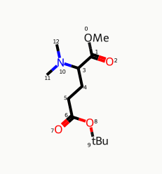 COC(=O)C(CCC(=O)OC(C)(C)C)N(C)C